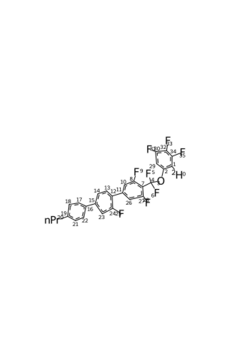 [2H]c1c(OC(F)(F)c2c(F)cc(-c3ccc(-c4ccc(CCC)cc4)cc3F)cc2F)cc(F)c(F)c1F